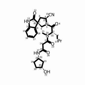 CC(C)C[C@@H](C(=O)N1C[C@]2(C[C@H]1C#N)C(=O)Nc1ccccc12)N(C)C(=O)CC(=O)N[C@H]1CC[C@@H](O)C1